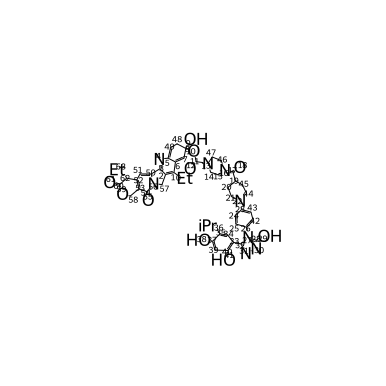 CCc1c2c(nc3c1=CC(O)(OC(=O)N1CCN(C(=O)C4CCN(c5ccc(-n6c(O)nnc6-c6cc(C(C)C)c(O)cc6O)cc5)CC4)CC1)CC=3)-c1cc3c(c(=O)n1C2)COC(=O)C3CC